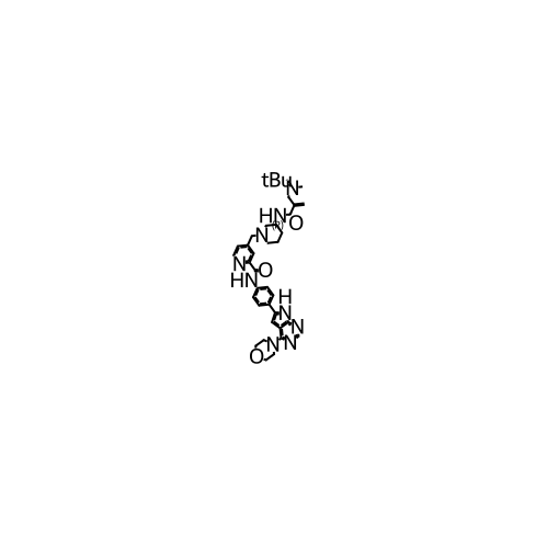 C=C(CN(C)C(C)(C)C)C(=O)N[C@@H]1CCCN(Cc2ccnc(C(=O)Nc3ccc(-c4cc5c(N6CCOCC6)ncnc5[nH]4)cc3)c2)C1